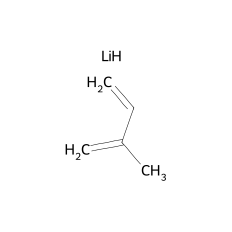 C=CC(=C)C.[LiH]